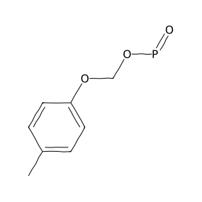 Cc1ccc(OCOP=O)cc1